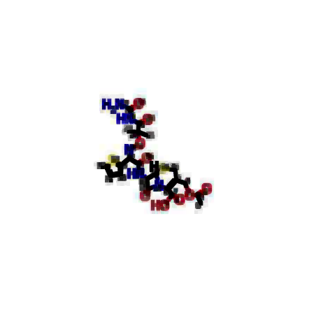 CC(=O)OCC1=C(C(=O)O)N2C(=O)[C@@H](NC(=O)/C(=N\OC(C)(C)C(=O)NC(N)=O)c3cccs3)[C@H]2SC1